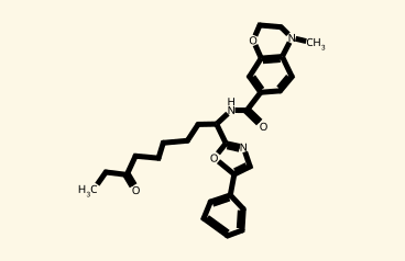 CCC(=O)CCCCCC(NC(=O)c1ccc2c(c1)OCCN2C)c1ncc(-c2ccccc2)o1